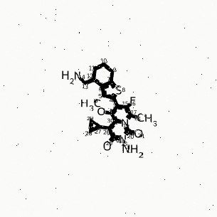 COc1c(-c2cc3c(s2)CCCC3CN)c(F)c(C)n2c(=O)n(N)c(=O)c(C3CC3)c12